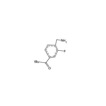 CC(C)(C)C(=O)c1ccc(CN)c(F)c1